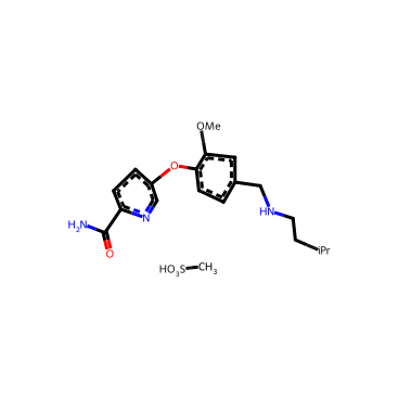 COc1cc(CNCCC(C)C)ccc1Oc1ccc(C(N)=O)nc1.CS(=O)(=O)O